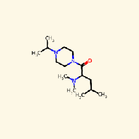 CC(C)CC(C(=O)N1CCN(C(C)C)CC1)N(C)C